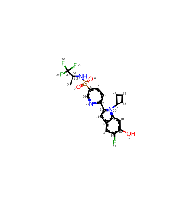 C[C@H](NS(=O)(=O)c1ccc(-c2cc3cc(F)c(O)cc3n2C2CCC2)nc1)C(F)(F)F